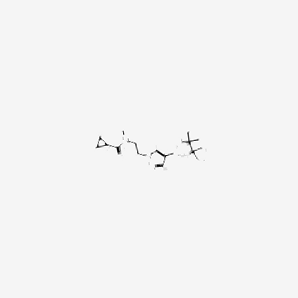 CN(CCn1cc(B2OC(C)(C)C(C)(C)O2)cn1)C(=O)C1CC1